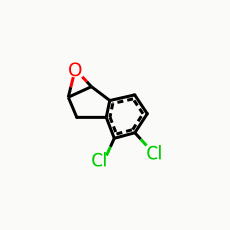 Clc1ccc2c(c1Cl)CC1OC21